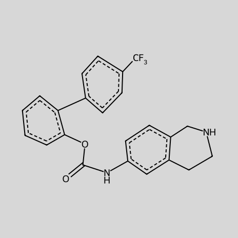 O=C(Nc1ccc2c(c1)CCNC2)Oc1ccccc1-c1ccc(C(F)(F)F)cc1